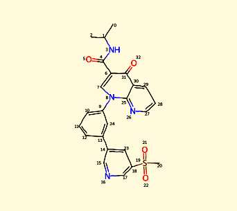 CC(C)NC(=O)c1cn(-c2cccc(-c3cncc(S(C)(=O)=O)c3)c2)c2ncccc2c1=O